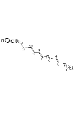 CCC=CC=CC=CC=CC=CCCCCCCCCCC